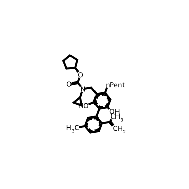 C=C(C)c1ccc(C)cc1-c1c(O)cc(CCCCC)c(CN(C(=O)OC2CCCC2)C2CC2)c1O